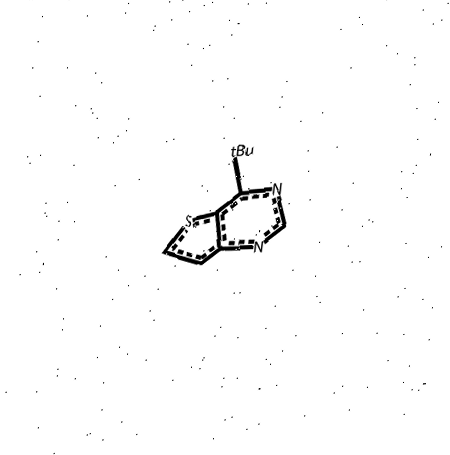 CC(C)(C)c1ncnc2ccsc12